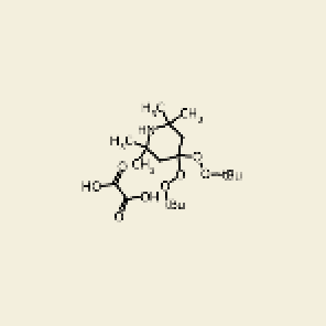 CC1(C)CC(OOC(C)(C)C)(OOC(C)(C)C)CC(C)(C)N1.O=C(O)C(=O)O